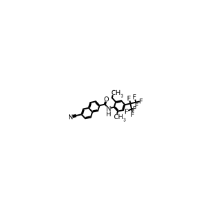 CCc1cc(C(F)(C(F)(F)F)C(F)(F)F)cc(C)c1NC(=O)c1ccc2cc(C#N)ccc2c1